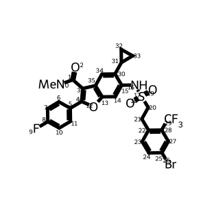 CNC(=O)c1c(-c2ccc(F)cc2)oc2cc(NS(=O)(=O)CCc3ccc(Br)cc3C(F)(F)F)c(C3CC3)cc12